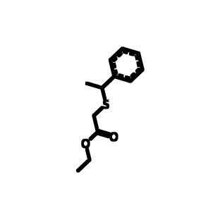 CCOC(=O)CSC(C)c1ccccc1